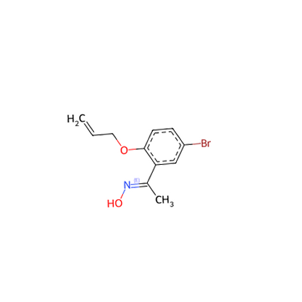 C=CCOc1ccc(Br)cc1/C(C)=N/O